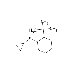 CC(C)(C)C1CCCCC1SC1CC1